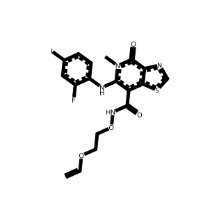 C=COCCONC(=O)c1c(Nc2ccc(I)cc2F)n(C)c(=O)c2ncsc12